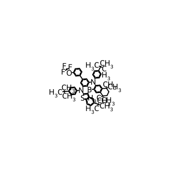 CC(C)(C)c1ccc(N2c3cc4c(cc3B3c5c2cc(-c2cccc(OC(F)(F)F)c2)cc5N(c2ccc(C(C)(C)C)cc2)c2sc5ccc(C(C)(C)C)cc5c23)C(C)(C)CCC4(C)C)cc1